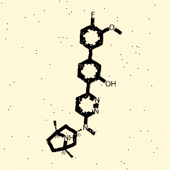 COc1cc(-c2ccc(-c3ccc(N(C)[C@@H]4C[C@]5(C)CC[C@](C)(C4)N5)nn3)c(O)c2)ccc1F